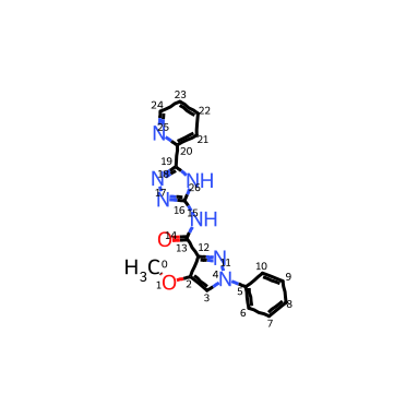 COc1cn(-c2ccccc2)nc1C(=O)Nc1nnc(-c2ccccn2)[nH]1